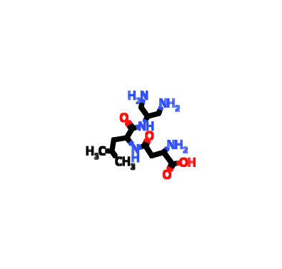 CC(C)CC(NC(=O)CC(N)C(=O)O)C(=O)NC(CN)CN